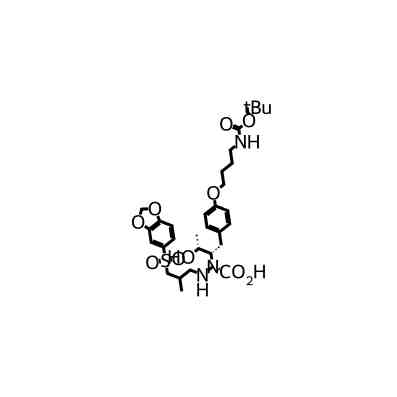 CC(CNN(C(=O)O)[C@@H](Cc1ccc(OCCCCNC(=O)OC(C)(C)C)cc1)[C@@H](C)O)CS(=O)(=O)c1ccc2c(c1)OCO2